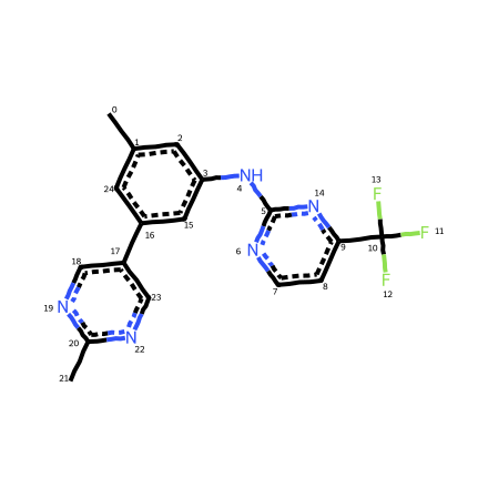 Cc1cc(Nc2nccc(C(F)(F)F)n2)cc(-c2cnc(C)nc2)c1